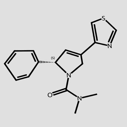 CN(C)C(=O)N1CC(c2cscn2)=C[C@H]1c1ccccc1